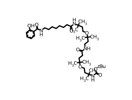 CC(C)(CCOC(C)(C)CCNC(=O)CCC(C)(C)OCCC(C)(C)NC(=O)OC(C)(C)C)NC(=O)CCCCCCCNC(=O)c1ccccc1O